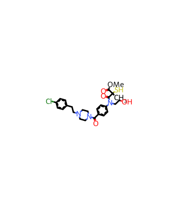 COC(=O)C(C)(S)C(=O)N(CCO)c1ccc(C(=O)N2CCN(CCc3ccc(Cl)cc3)CC2)cc1